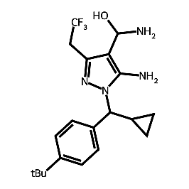 CC(C)(C)c1ccc(C(C2CC2)n2nc(CC(F)(F)F)c(C(N)O)c2N)cc1